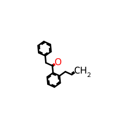 C=CCc1ccccc1C(=O)Cc1ccccc1